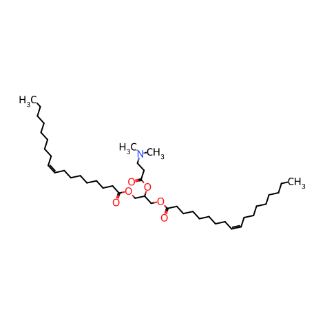 CCCCCCCC/C=C\CCCCCCCC(=O)OCC(COC(=O)CCCCCCC/C=C\CCCCCCCC)OC(=O)CCN(C)C